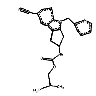 CC(C)COC(=O)N[C@H]1Cc2c(n(Cc3ccccn3)c3ccc(C#N)cc23)C1